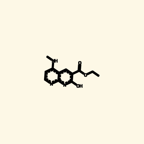 CCOC(=O)c1cc2c(NC)ccnc2nc1O